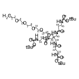 C=CCOCCOCCOCCOCCOCC(CNC(=O)CCNC(=O)OC(C)(C)C)(CNC(=O)CCNC(=O)OC(C)(C)C)CNC(=O)CCNC(=O)OC(C)(C)C